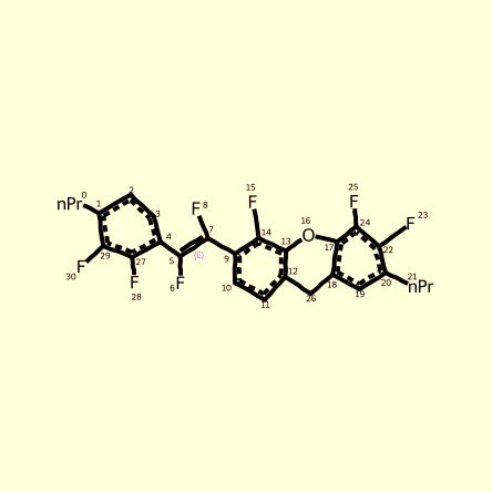 CCCc1ccc(/C(F)=C(\F)c2ccc3c(c2F)Oc2c(cc(CCC)c(F)c2F)C3)c(F)c1F